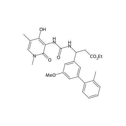 CCOC(=O)CC(NC(=O)Nc1c(O)c(C)cn(C)c1=O)c1cc(OC)cc(-c2ccccc2C)c1